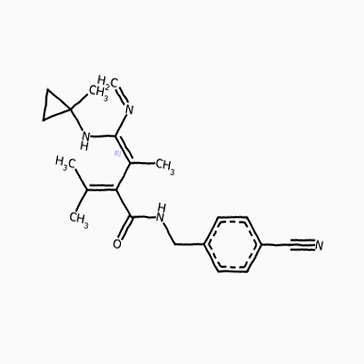 C=N/C(NC1(C)CC1)=C(\C)C(C(=O)NCc1ccc(C#N)cc1)=C(C)C